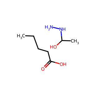 CC(O)NN.CCCCC(=O)O